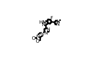 Cn1cc(-c2cc3c(-c4cc(N5CCN6C(=O)OCC6C5)ncn4)n[nH]c3cc2F)cn1